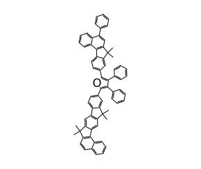 CC1(C)c2cc(-c3oc(-c4ccc5c(c4)C(C)(C)c4cc(-c6ccccc6)c6ccccc6c4-5)c(-c4ccccc4)c3-c3ccccc3)ccc2-c2cc3c(cc21)-c1c(ccc2ccccc12)C3(C)C